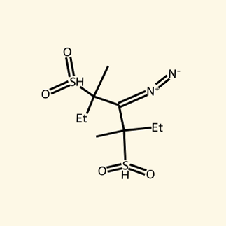 CCC(C)(C(=[N+]=[N-])C(C)(CC)[SH](=O)=O)[SH](=O)=O